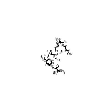 C=C(C)C(=O)OCCCC.C=C(CC)C(=O)OCCCCCC.C=C(CC=CC(=O)O)C(=O)OCCCO.C=Cc1ccccc1